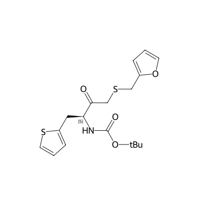 CC(C)(C)OC(=O)N[C@@H](Cc1cccs1)C(=O)CSCc1ccco1